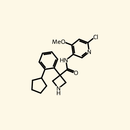 COc1cc(Cl)ncc1NC(=O)C1(c2ccccc2C2CCCC2)CNC1